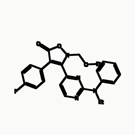 CCOCn1oc(=O)c(-c2ccc(F)cc2)c1-c1ccnc(N(CC)c2ccccc2)n1